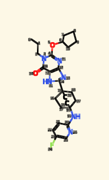 CCCn1c(OC2CCCC2)nc2nc(C34CCC(Nc5ccc(F)cn5)(CC3)CC4)[nH]c2c1=O